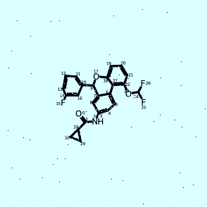 O=C(Nc1ccc2c(c1)C(c1cccc(F)c1)Oc1cccc(OC(F)F)c1-2)C1CC1